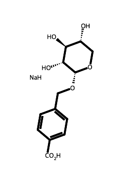 O=C(O)c1ccc(CO[C@H]2OC[C@@H](O)[C@H](O)[C@H]2O)cc1.[NaH]